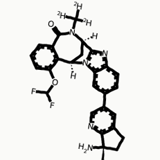 [2H]C([2H])([2H])N1C(=O)c2cccc(OC(F)F)c2[C@H]2C[C@@H]1c1nc3ccc(-c4cnc5c(c4)CC[C@]5(C)N)cc3n12